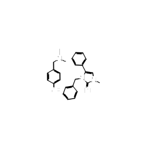 Cn1cc(-c2ccccc2)n(Cc2ccccc2)[c]1=[Pt].FC(F)(F)c1ccc(CN(I)I)cc1